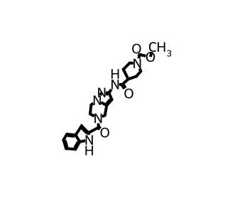 COC(=O)N1CCC(C(=O)Nc2cc3n(n2)CCN(C(=O)c2cc4ccccc4[nH]2)C3)CC1